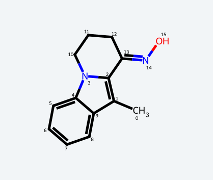 Cc1c2n(c3ccccc13)CCC/C2=N\O